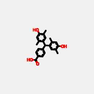 Cc1cc(C(c2ccc(C(=O)O)cc2)c2cc(C)c(O)cc2C)c(C)cc1O